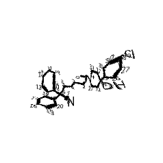 C[N+]1(CCCCC(C#N)(C2=CCCC=C2)c2ccccc2)CCC(O)(c2ccc(Cl)cc2)CC1